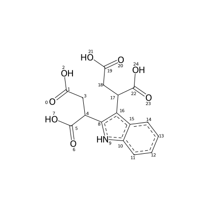 O=C(O)CC(C(=O)O)c1[nH]c2ccccc2c1C(CC(=O)O)C(=O)O